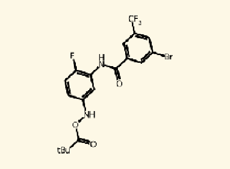 CC(C)(C)C(=O)ONc1ccc(F)c(NC(=O)c2cc(Br)cc(C(F)(F)F)c2)c1